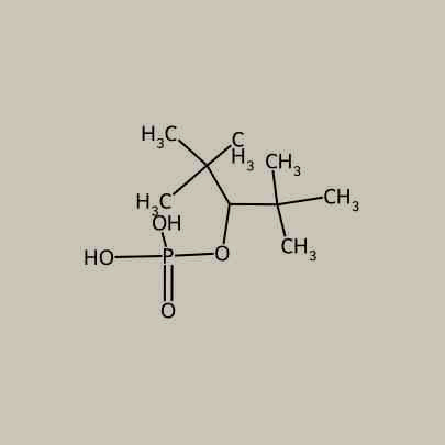 CC(C)(C)C(OP(=O)(O)O)C(C)(C)C